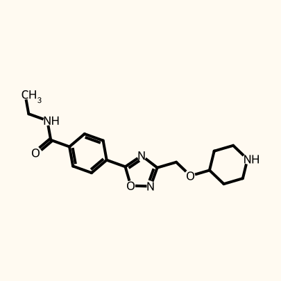 CCNC(=O)c1ccc(-c2nc(COC3CCNCC3)no2)cc1